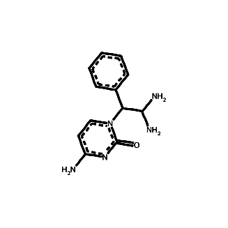 Nc1ccn(C(c2ccccc2)C(N)N)c(=O)n1